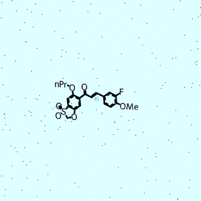 CCCOc1cc2c(cc1C(=O)/C=C/c1ccc(OC)c(F)c1)OCS2(=O)=O